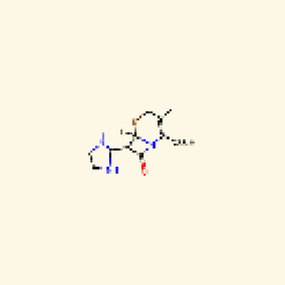 CC1=C(C(=O)O)N2C(=O)C(C3NCCN3)[C@@H]2SC1